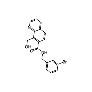 O=C(NCc1cccc(Br)c1)c1ccc2cccnc2c1CO